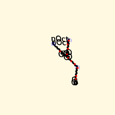 CCCCCCCC/C=C\CCCCCCCC(=O)OCC(COC(=O)CCCCCCC/C=C\CCCCCCCC)OC(=O)CCCCCCC/C=C\CCCCCCCCOC1CCCCO1